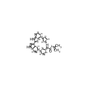 CN(C)CC(=O)Nc1cncc(-c2cc3c(-c4cc5c(-c6ccsc6)ccnc5[nH]4)n[nH]c3cn2)c1